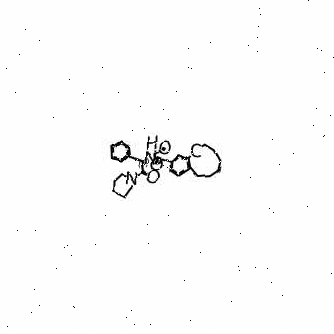 O=C([C@@H](NS(=O)(=O)c1ccc2c(c1)CCCCCCC2)c1ccccc1)N1CCCCC1